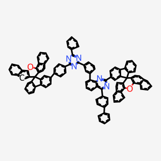 c1ccc(-c2ccc(-c3nc(-c4ccc5c(c4)C4(c6ccccc6-5)c5ccc6ccccc6c5Oc5c4ccc4ccccc54)nc4c(-c5cccc(-c6nc(-c7ccccc7)nc(-c7ccc(-c8ccc9c(c8)C8(c%10ccccc%10-9)c9ccc%10ccccc%10c9Oc9c8ccc8ccccc98)cc7)n6)c5)cccc34)cc2)cc1